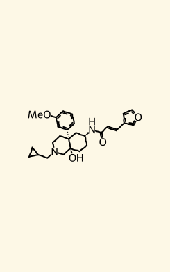 COc1cccc([C@@]23CCN(CC4CC4)C[C@@]2(O)CC[C@H](NC(=O)C=Cc2ccoc2)C3)c1